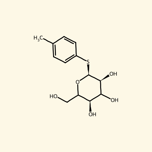 Cc1ccc(S[C@@H]2OC(CO)[C@H](O)C(O)[C@@H]2O)cc1